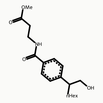 CCCCCCC(CO)c1ccc(C(=O)NCCC(=O)OC)cc1